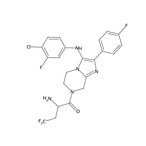 NC(CC(F)(F)F)C(=O)N1CCn2c(nc(-c3ccc(F)cc3)c2Nc2ccc(Cl)c(F)c2)C1